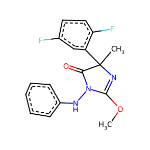 COC1=NC(C)(c2cc(F)ccc2F)C(=O)N1Nc1ccccc1